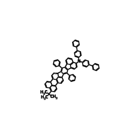 CC(C)(C)c1ccc2c3ccc4c5c(-c6ccccc6)c6c7ccc(N(c8ccc(-c9ccccc9)cc8)c8ccc(-c9ccccc9)cc8)c8cccc(c6c(-c6ccccc6)c5c5ccc(c6cccc1c62)c3c54)c87